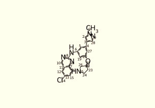 Cn1cc(-c2cc(Nc3ncc4cc(Cl)ccc4n3)cc(O[C@@H]3CCNC3)c2)cn1